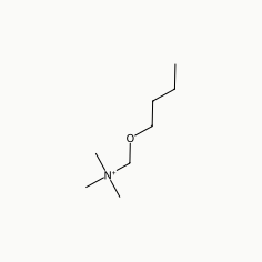 CCCCOC[N+](C)(C)C